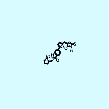 CCN1CCCC1CNC(=O)c1ccc(-c2ccc(C=C3SC(=S)NC3=O)o2)cc1